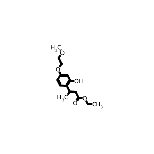 CCOC(=O)CC(C)c1ccc(OCCOC)cc1O